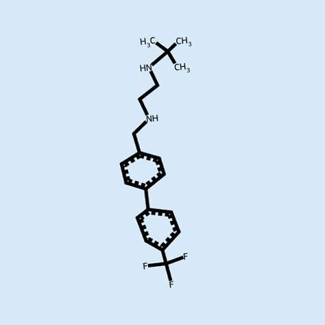 CC(C)(C)NCCNCc1ccc(-c2ccc(C(F)(F)F)cc2)cc1